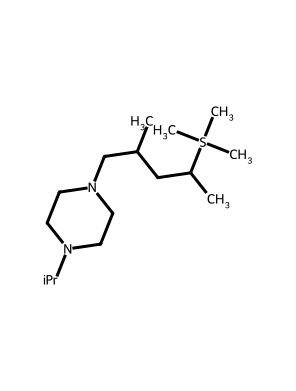 CC(CC(C)S(C)(C)C)CN1CCN(C(C)C)CC1